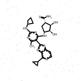 Cc1nc(NC2CCC2)nc(N[C@@H]2C[C@H](C(N)=O)[C@@H](O)[C@H]2O)c1-c1nc2c(C3CC3)nccc2s1